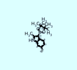 Cc1[nH]c2cc(F)ccc2c1B1OC(C)(C)C(C)(C)O1